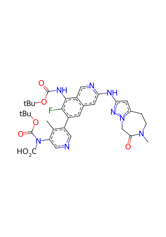 Cc1c(-c2cc3cc(Nc4cc5n(n4)CC(=O)N(C)CC5)ncc3c(NC(=O)OC(C)(C)C)c2F)cncc1N(C(=O)O)C(=O)OC(C)(C)C